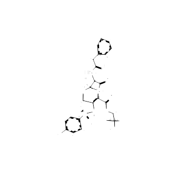 Cc1ccc(S(=O)(=O)OC2=C(C(=O)OCC(Cl)(Cl)Cl)N3C(=O)C(NC(=O)Cc4ccccc4)[C@H]3SC2)cc1